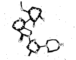 COc1ccc(F)c(F)c1-c1nccc2c1CN(c1cc(C)nc(N3CCNCC3)n1)C2=O